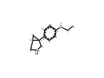 CCOc1ccc(C23CNCC2C3)cc1